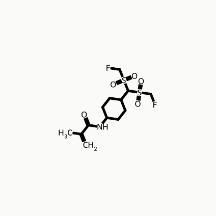 C=C(C)C(=O)NC1CCC(C(S(=O)(=O)CF)S(=O)(=O)CF)CC1